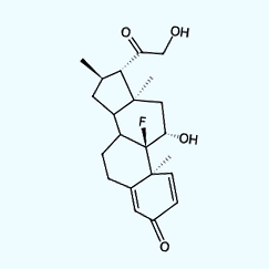 C[C@@H]1CC2C3CCC4=CC(=O)C=C[C@]4(C)[C@@]3(F)[C@@H](O)C[C@]2(C)[C@H]1C(=O)CO